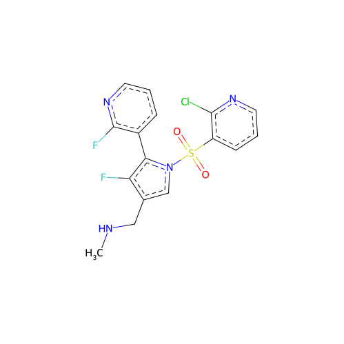 CNCc1cn(S(=O)(=O)c2cccnc2Cl)c(-c2cccnc2F)c1F